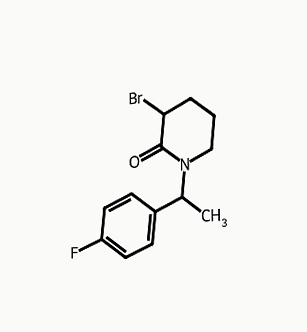 CC(c1ccc(F)cc1)N1CCCC(Br)C1=O